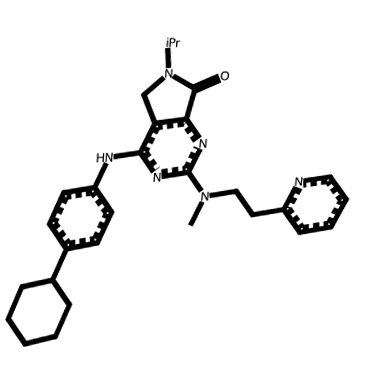 CC(C)N1Cc2c(Nc3ccc(C4CCCCC4)cc3)nc(N(C)CCc3ccccn3)nc2C1=O